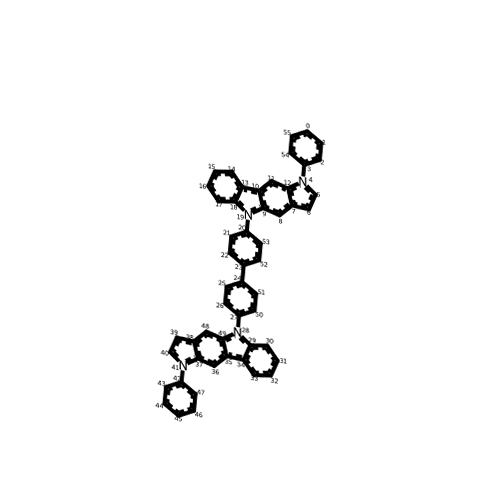 c1ccc(-n2ccc3cc4c(cc32)c2ccccc2n4-c2ccc(-c3ccc(-n4c5ccccc5c5cc6c(ccn6-c6ccccc6)cc54)cc3)cc2)cc1